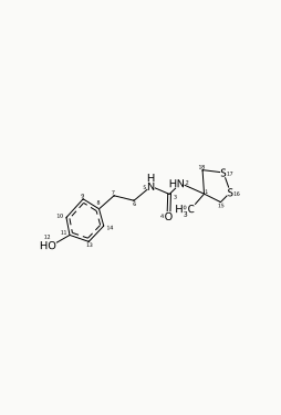 CC1(NC(=O)NCCc2ccc(O)cc2)CSSC1